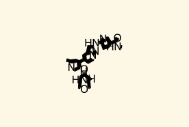 CNC(=O)c1ccc(Nc2cc3cc(-c4cc(C)ncc4OC4C[C@H]5COC[C@@H](C4)N5)ccn3n2)nc1